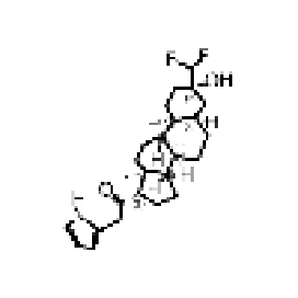 C[C@]12CC[C@H]3[C@@H](CC[C@@H]4C[C@@](O)(C(F)F)CC[C@@H]43)[C@@H]1CC[C@@H]2C(=O)Cc1ccc[nH]1